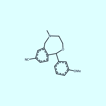 COc1cccc(C2OCCN(C)Cc3cc(C#N)ccc32)c1